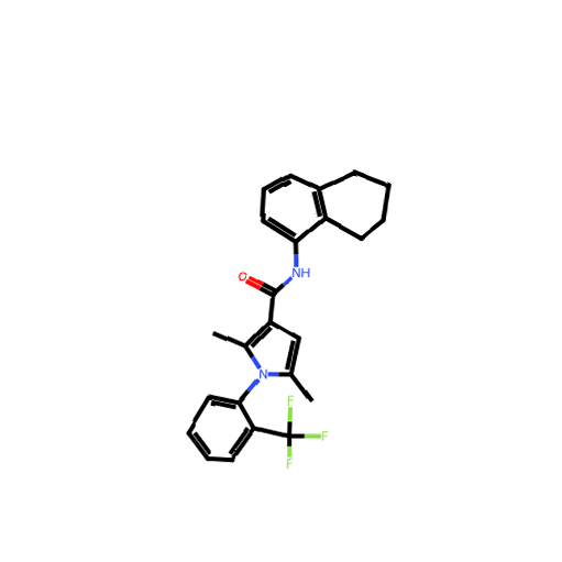 Cc1cc(C(=O)Nc2cccc3c2CCCC3)c(C)n1-c1ccccc1C(F)(F)F